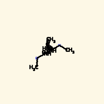 CCCCCCCC/C=C\CCCCCCCC(=O)NCCN(CCNC(=O)CCCCCCC/C=C\CCCCCCCC)CCNC(=O)CCOCCOCC